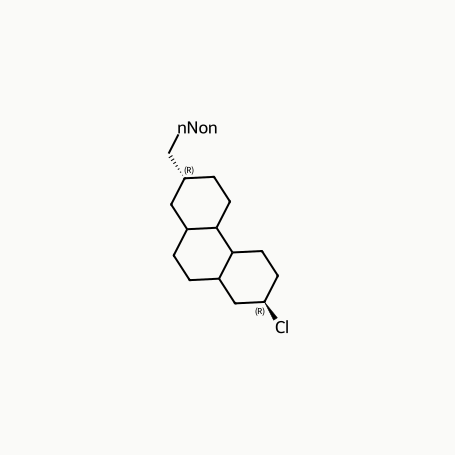 CCCCCCCCCC[C@@H]1CCC2C(CCC3C[C@H](Cl)CCC32)C1